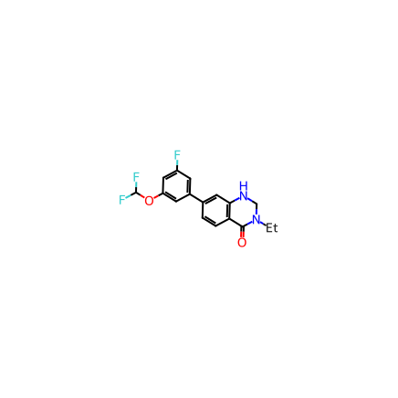 CCN1CNc2cc(-c3cc(F)cc(OC(F)F)c3)ccc2C1=O